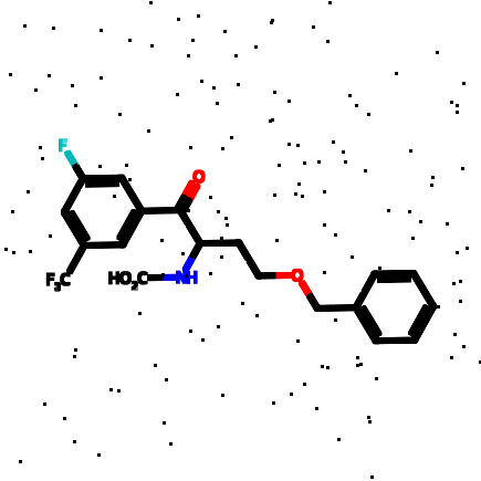 O=C(O)NC(CCOCc1ccccc1)C(=O)c1cc(F)cc(C(F)(F)F)c1